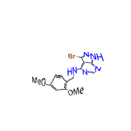 COc1ccc(CNc2ncnc3[nH]nc(Br)c23)c(OC)c1